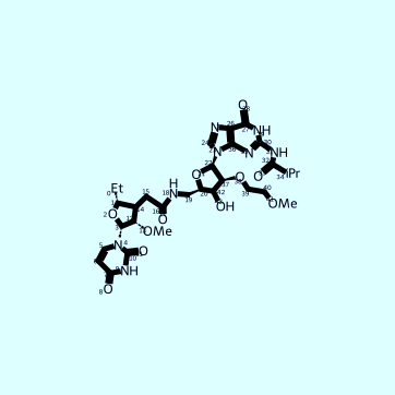 CC[C@H]1O[C@@H](n2ccc(=O)[nH]c2=O)[C@@H](OC)C1CC(=O)NC[C@H]1O[C@@H](n2cnc3c(=O)[nH]c(NC(=O)C(C)C)nc32)[C@@H](OCCOC)C1O